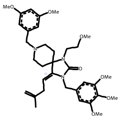 C=C(C)C/C=C1\N(Cc2cc(OC)c(OC)c(OC)c2)C(=O)N(CCOC)C12CCN(Cc1cc(OC)cc(OC)c1)CC2